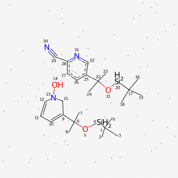 CC(C)(C)[SiH2]OC(C)(C)C1=CC=CN(O)C1.CC(C)(C)[SiH2]OC(C)(C)c1ccc(C#N)nc1